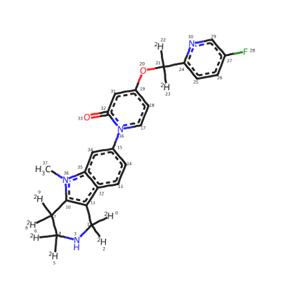 [2H]C1([2H])NC([2H])([2H])C([2H])([2H])c2c1c1ccc(-n3ccc(OC([2H])([2H])c4ccc(F)cn4)cc3=O)cc1n2C